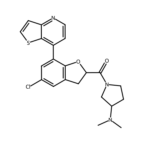 CN(C)C1CCN(C(=O)C2Cc3cc(Cl)cc(-c4ccnc5ccsc45)c3O2)C1